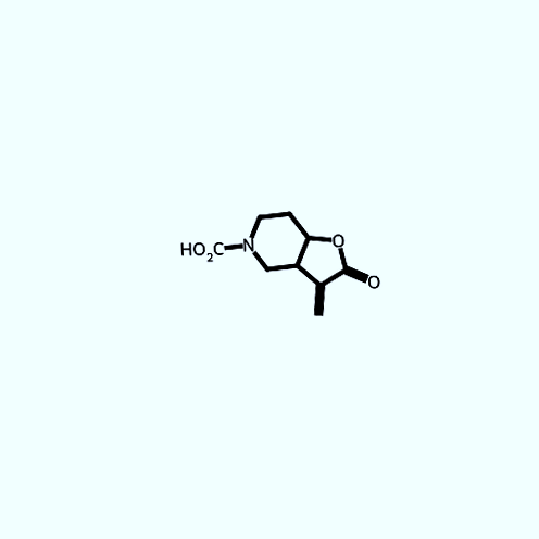 C=C1C(=O)OC2CCN(C(=O)O)CC12